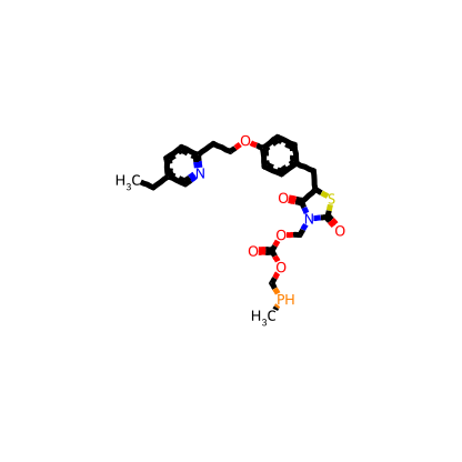 CCc1ccc(CCOc2ccc(CC3SC(=O)N(COC(=O)OCPC)C3=O)cc2)nc1